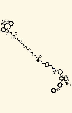 Nc1ncnc2c1c(-c1ccc(Oc3ccccc3)cc1)nn2C1CCCN(C(=O)/C=C/CN2CCN(CCNC(=O)CCOCCOCCOCCOCCNC(=O)CCC(=O)N3Cc4ccccc4-c4[nH]nnc4-c4ccccc43)CC2)C1